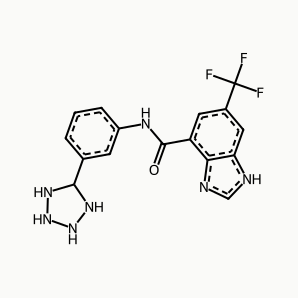 O=C(Nc1cccc(C2NNNN2)c1)c1cc(C(F)(F)F)cc2[nH]cnc12